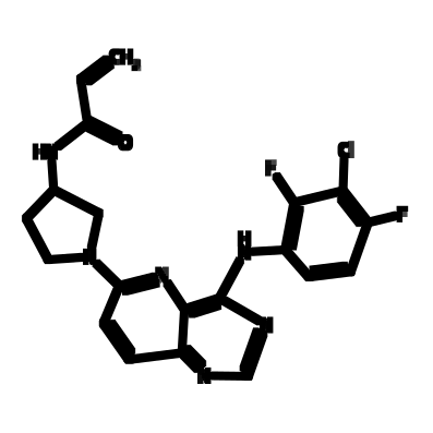 C=CC(=O)NC1CCN(c2ccc3ncnc(Nc4ccc(F)c(Cl)c4F)c3n2)C1